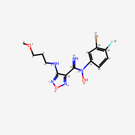 COCCCNc1nonc1C(=N)N(O)c1ccc(F)c(Br)c1